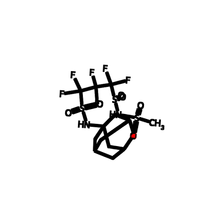 CS(=O)(=O)NS(=O)(=O)C(F)(F)C(F)(F)C(F)(F)S(=O)(=O)NC12CC3CC(CC(C3)C1)C2